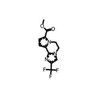 COC(=O)c1ccc2n1CCn1cc(C(F)(F)F)nc1-2